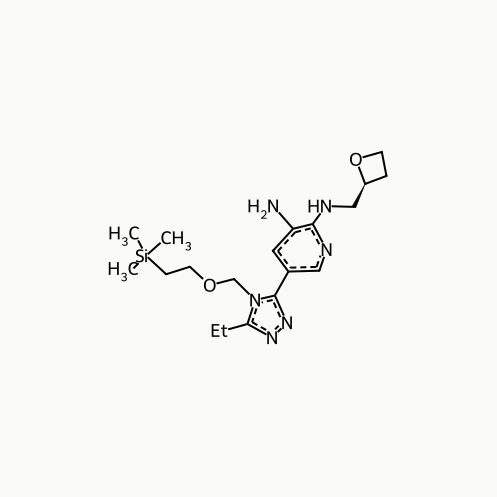 CCc1nnc(-c2cnc(NC[C@@H]3CCO3)c(N)c2)n1COCC[Si](C)(C)C